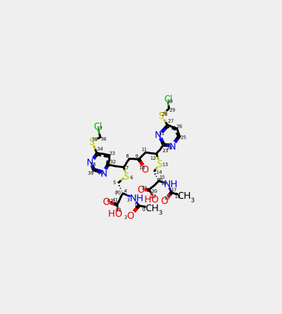 CC(=O)N[C@@H](CSC(CC(=O)CC(SC[C@H](NC(C)=O)C(=O)O)c1nccc(SCCl)n1)c1cc(SCCl)ncn1)C(=O)O